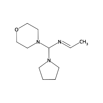 C/C=N/C(N1CCCC1)N1CCOCC1